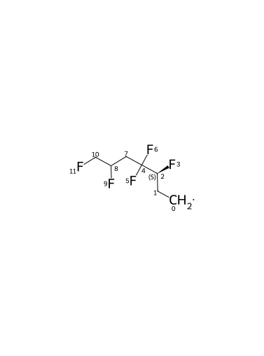 [CH2]C[C@H](F)C(F)(F)CC(F)CF